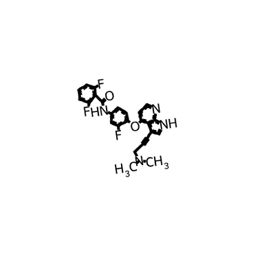 CN(C)CC#Cc1c[nH]c2nccc(Oc3ccc(NC(=O)c4c(F)cccc4F)cc3F)c12